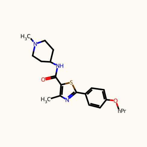 CCCOc1ccc(-c2nc(C)c(C(=O)NC3CCN(C)CC3)s2)cc1